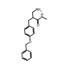 CNC(=O)C(CN)Cc1ccc(OCc2ccccc2)cc1